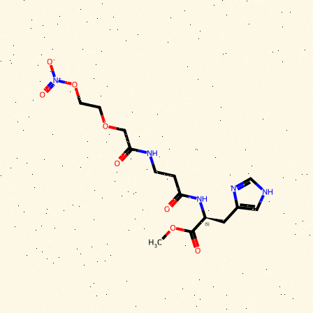 COC(=O)[C@H](Cc1c[nH]cn1)NC(=O)CCNC(=O)COCCO[N+](=O)[O-]